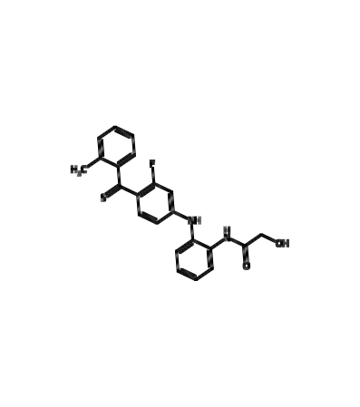 Cc1ccccc1C(=S)c1ccc(Nc2ccccc2NC(=O)CO)cc1F